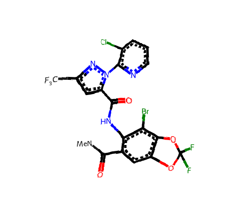 CNC(=O)c1cc2c(c(Br)c1NC(=O)c1cc(C(F)(F)F)nn1-c1ncccc1Cl)OC(F)(F)O2